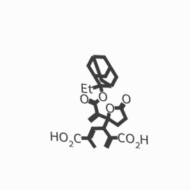 C=C(C(=O)O)C(C=C(C)C(=O)O)C1(C(=C)C(=O)OC2(CC)C3CC4CC(C3)CC2C4)CCC(=O)O1